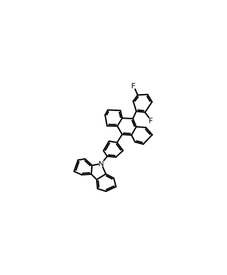 Fc1ccc(F)c(-c2c3ccccc3c(-c3ccc(-n4c5ccccc5c5ccccc54)cc3)c3ccccc23)c1